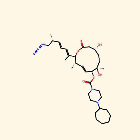 C/C(=C\C=C\[C@@H](C)CN=[N+]=[N-])[C@H]1OC(=O)C[C@H](O)CC[C@@](C)(O)[C@@H](OC(=O)N2CCN(C3CCCCCC3)CC2)/C=C/[C@@H]1C